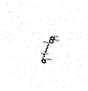 CCCN(CCCCCCNC(=O)COc1ccccc1OC)C1CCc2c(ccc(O)c2O)C1